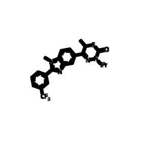 CC1SC(=O)N(C(C)C)N=C1c1ccc2c(c1)nc(-c1cccc(C(F)(F)F)c1)n2C